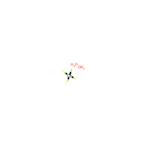 O.O.[F][Ge]([F])([F])[F]